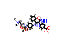 COC(=O)c1ccc2c(c1)NC(=O)C2=C(Nc1ccc(N(CCCN(C)C)S(C)(=O)=O)cc1)c1ccccc1